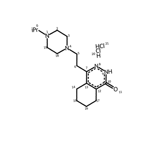 CC(C)N1CCN(CCc2n[nH]c(=O)c3c2CCCC3)CC1.Cl.Cl